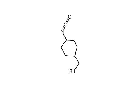 CCC(C)CC1CCC(N=C=O)CC1